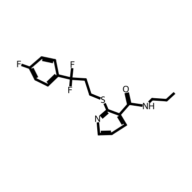 CCCNC(=O)c1cccnc1SCCC(F)(F)c1ccc(F)cc1